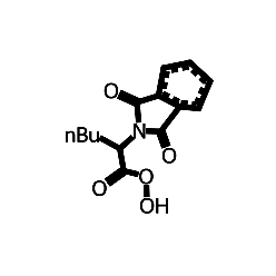 CCCCC(C(=O)OO)N1C(=O)c2ccccc2C1=O